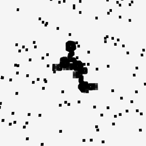 O=C(O)C[C@H]1Nc2cc(C(=O)NCCc3ccnc(O)c3)ccc2CN(CCc2ccccc2)C1=O